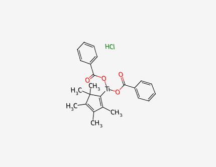 CC1=C(C)C(C)(C)[C]([Ti]([O]C(=O)c2ccccc2)[O]C(=O)c2ccccc2)=C1C.Cl